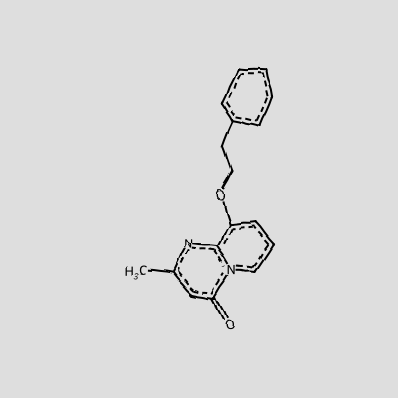 Cc1cc(=O)n2cccc(OCCc3ccccc3)c2n1